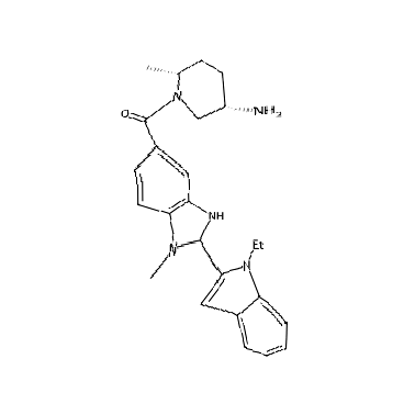 CCn1c(C2Nc3cc(C(=O)N4C[C@@H](N)CC[C@H]4C)ccc3N2C)cc2ccccc21